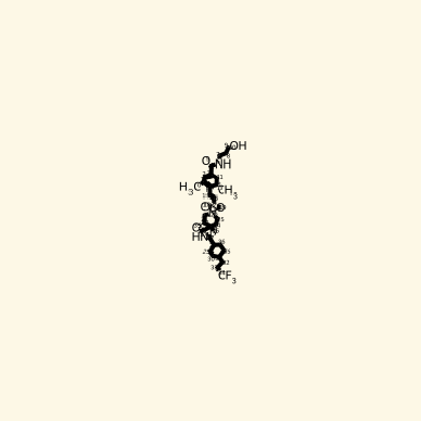 Cc1cc(C(=O)NCCCO)cc(C)c1/C=C/S(=O)(=O)N1CCC2(CC1)N=C(C1CCC(CCC(F)(F)F)CC1)NC2=O